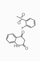 CS(=O)(=O)c1ccccc1I.O=C1CC(=O)c2ccccc2N1